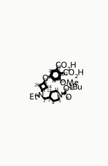 CCN(CC1CCN(C(=O)OC(C)(C)C)CC1)C1CC(Oc2cc(OC)c(C(=O)O)c(C(=O)O)c2)C1